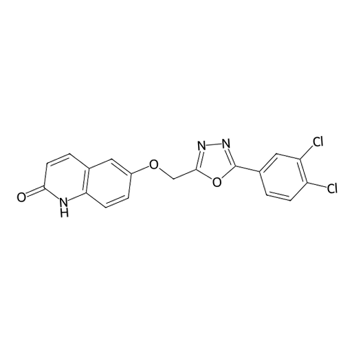 O=c1ccc2cc(OCc3nnc(-c4ccc(Cl)c(Cl)c4)o3)ccc2[nH]1